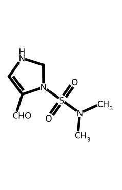 CN(C)S(=O)(=O)N1CNC=C1C=O